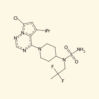 CC(C)c1cc(Cl)n2ncnc(N3CCC(N(CC(C)(F)F)S(N)(=O)=O)CC3)c12